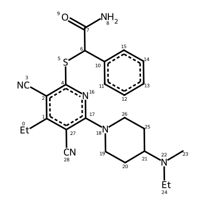 CCc1c(C#N)c(SC(C(N)=O)c2ccccc2)nc(N2CCC(N(C)CC)CC2)c1C#N